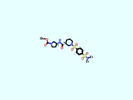 CCN(CC)S(=O)(=O)c1ccc(S(=O)(=O)N2CCC[C@@H](C(=O)N[C@H]3CCN(C(=O)OC(C)(C)C)C3)C2)cc1